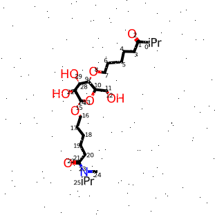 CC(C)C(=O)CCCCCO[C@@H]1C(CO)O[C@H](OCCCCCC(=O)N(C)C(C)C)C(O)[C@@H]1O